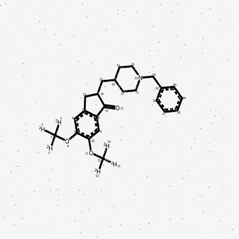 [2H]C([2H])([2H])Oc1cc2c(cc1OC([2H])([2H])[2H])C(=O)C(CC1CCN(Cc3ccccc3)CC1)C2